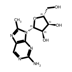 Cc1nc2cnc(N)nc2n1[C@@H]1O[C@H](CO)[C@@H](O)[C@H]1O